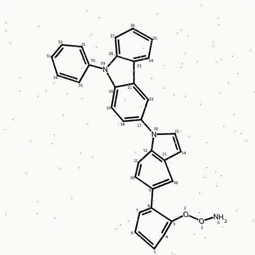 NOOc1ccccc1-c1ccc2c(ccn2-c2ccc3c(c2)c2ccccc2n3-c2ccccc2)c1